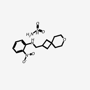 N[SH](=O)=O.O=[N+]([O-])c1ccccc1NCC1CC2(CCOCC2)C1